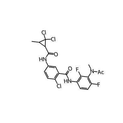 CC(=O)N(C)c1c(F)ccc(NC(=O)c2cc(NC(=O)C3C(C)C3(Cl)Cl)ccc2Cl)c1F